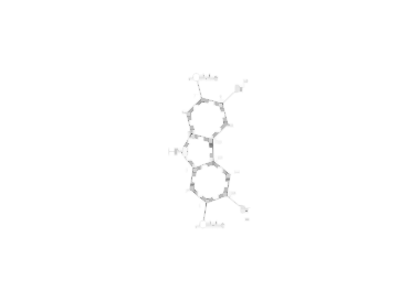 COc1cc2[nH]c3cc(OC)c(Br)cc3c2cc1Br